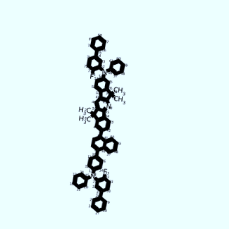 CC1(C)c2cc(-c3ccc(-c4ccc(N(c5ccccc5)c5cc(-c6ccccc6)ccc5F)cc4)c4ccccc34)ccc2-c2nc3c(cc21)-c1ccc(N(c2ccccc2)c2cc(-c4ccccc4)ccc2F)cc1C3(C)C